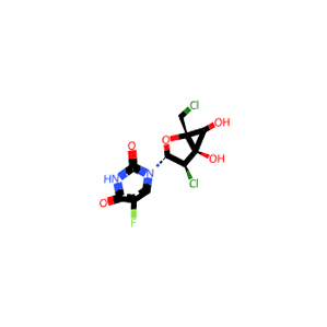 O=c1[nH]c(=O)n([C@@H]2O[C@]3(CCl)C(O)[C@]3(O)[C@H]2Cl)cc1F